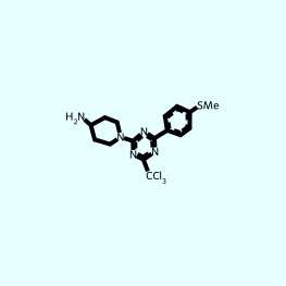 CSc1ccc(-c2nc(N3CCC(N)CC3)nc(C(Cl)(Cl)Cl)n2)cc1